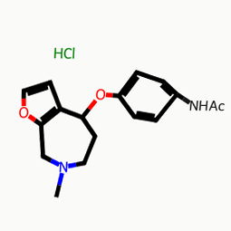 CC(=O)Nc1ccc(OC2CCN(C)Cc3occc32)cc1.Cl